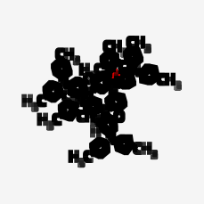 Cc1ccc(N(c2ccc(C)cc2)c2cc3c4c(c2)Oc2ccccc2B4c2cc4c(cc2N3)N(c2c(C)cc(C)cc2C)c2cc(N(c3ccc(C)cc3)c3ccc(C)cc3)cc3c2B4c2cc4c(cc2O3)N(c2c(C)cc(C)cc2C)c2cc(N(c3ccc(C)cc3)c3ccc(C)cc3)cc3c2B4c2ccccc2O3)cc1